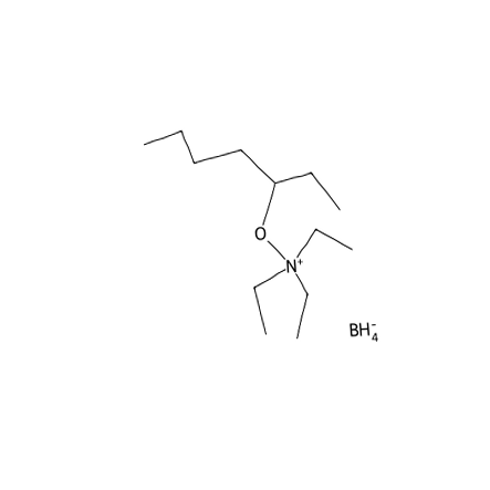 CCCCC(CC)O[N+](CC)(CC)CC.[BH4-]